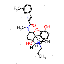 C=CCN1C(C#N)C[C@]23c4c5ccc(O)c4OC2C(N(C)C(=O)/C=C/c2cccc(C(F)(F)F)c2)CC[C@@]3(O)[C@H]1C5